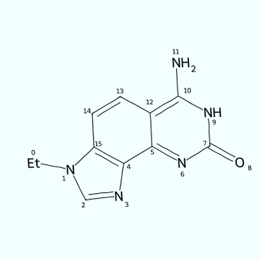 CCn1cnc2c3nc(=O)[nH]c(N)c3ccc21